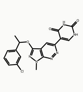 CC(Oc1nn(C)c2nnc(-c3c[nH]c(=O)[nH]c3=O)cc12)c1cccc(Cl)c1